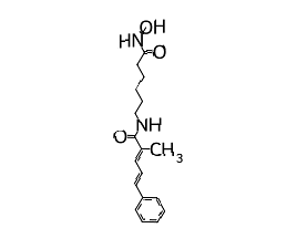 C/C(=C\C=C\c1ccccc1)C(=O)NCCCCCC(=O)NO